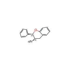 CCC[C@@H]1Cc2ccccc2O[C@@H]1c1ccccc1